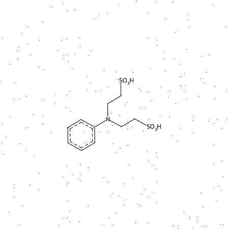 O=S(=O)(O)CCN(CCS(=O)(=O)O)c1ccccc1